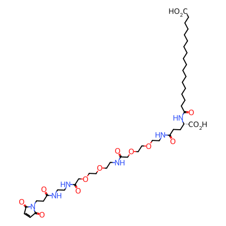 O=C(O)CCCCCCCCCCCCCCCCC(=O)N[C@@H](CCC(=O)NCCOCCOCC(=O)NCCOCCOCC(=O)NCCNC(=O)CCN1C(=O)C=CC1=O)C(=O)O